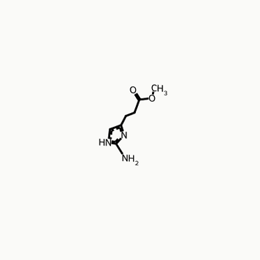 COC(=O)CCc1c[nH]c(N)n1